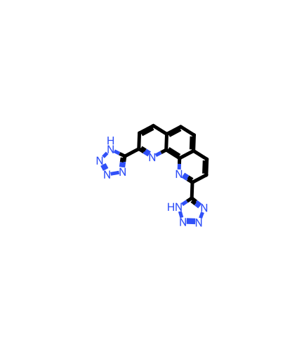 c1cc2ccc3ccc(-c4nnn[nH]4)nc3c2nc1-c1nnn[nH]1